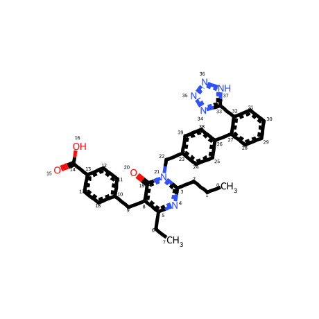 CCCc1nc(CC)c(Cc2ccc(C(=O)O)cc2)c(=O)n1Cc1ccc(-c2ccccc2-c2nnn[nH]2)cc1